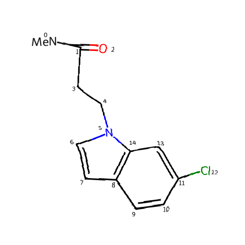 CNC(=O)CCn1ccc2ccc(Cl)cc21